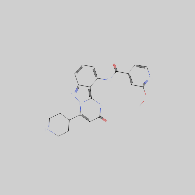 COc1cc(C(=O)Nc2cccc3nn4c(C5CCNCC5)cc(=O)[nH]c4c23)ccn1